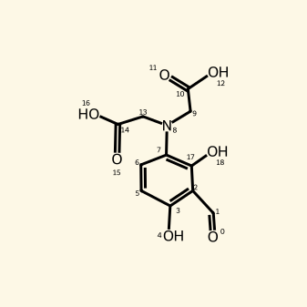 O=Cc1c(O)ccc(N(CC(=O)O)CC(=O)O)c1O